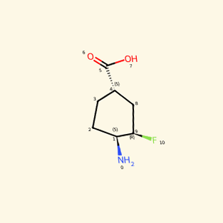 N[C@H]1CC[C@H](C(=O)O)C[C@H]1F